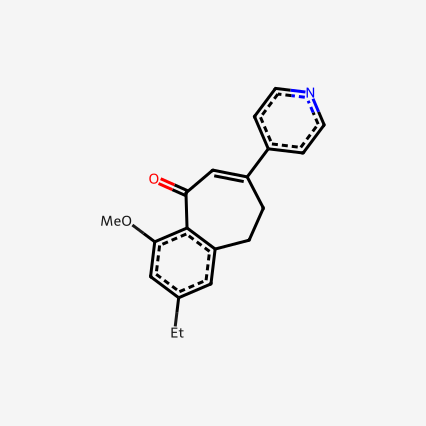 CCc1cc2c(c(OC)c1)C(=O)C=C(c1ccncc1)CC2